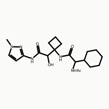 CC(=O)NC(C(=O)NC1(C(O)C(=O)Nc2ccn(C)n2)CCC1)C1CCCCC1